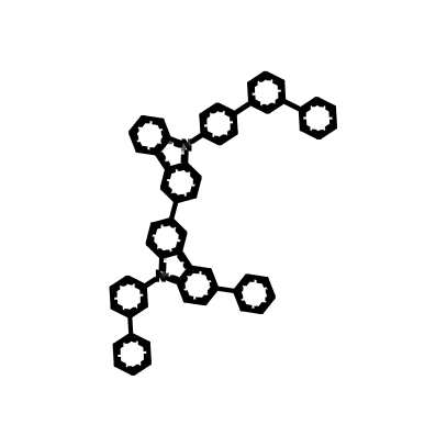 c1ccc(-c2cccc(-c3ccc(-n4c5ccccc5c5cc(-c6ccc7c(c6)c6cc(-c8ccccc8)ccc6n7-c6cccc(-c7ccccc7)c6)ccc54)cc3)c2)cc1